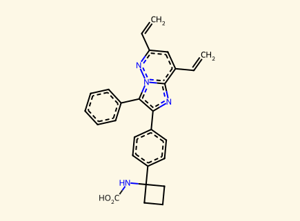 C=Cc1cc(C=C)c2nc(-c3ccc(C4(NC(=O)O)CCC4)cc3)c(-c3ccccc3)n2n1